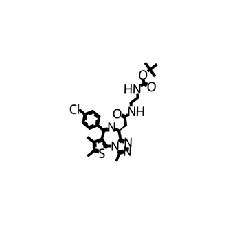 Cc1sc2c(c1C)C(c1ccc(Cl)cc1)=N[C@@H](CC(=O)NCCNC(=O)OC(C)(C)C)c1nnc(C)n1-2